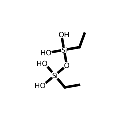 CC[Si](O)(O)O[Si](O)(O)CC